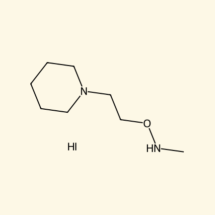 CNOCCN1CCCCC1.I